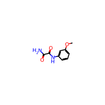 COc1cccc(NC(=O)C(N)=O)c1